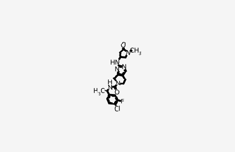 C[C@@H](NC(=O)N1CCc2cnc(NC3CC(=O)N(C)C3)nc2C1)c1ccc(Cl)c(F)c1